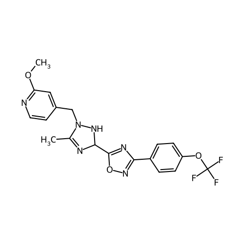 COc1cc(CN2NC(c3nc(-c4ccc(OC(F)(F)F)cc4)no3)N=C2C)ccn1